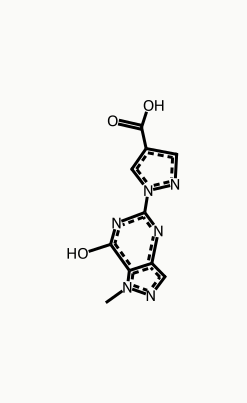 Cn1ncc2nc(-n3cc(C(=O)O)cn3)nc(O)c21